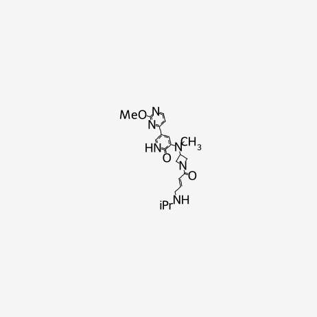 COc1nccc(-c2c[nH]c(=O)c(N(C)C3CN(C(=O)C=CCNC(C)C)C3)c2)n1